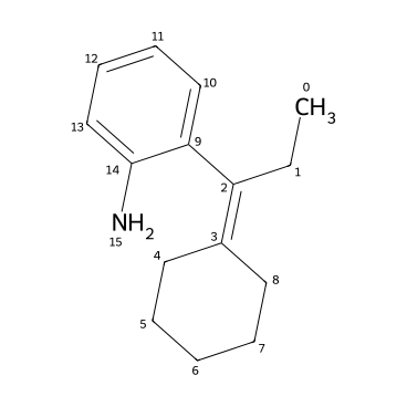 CCC(=C1CCCCC1)c1ccccc1N